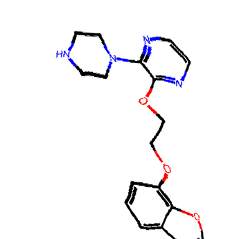 c1cc(OCCOc2nccnc2N2CCNCC2)c2occc2c1